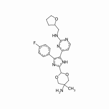 CC1(N)COC(c2nc(-c3ccc(F)cc3)c(-c3ccnc(NCC4CCCO4)n3)[nH]2)OC1